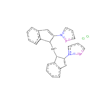 C1=C(n2cccp2)[CH]([Hf+2][CH]2C(n3cccp3)=Cc3ccccc32)c2ccccc21.[Cl-].[Cl-]